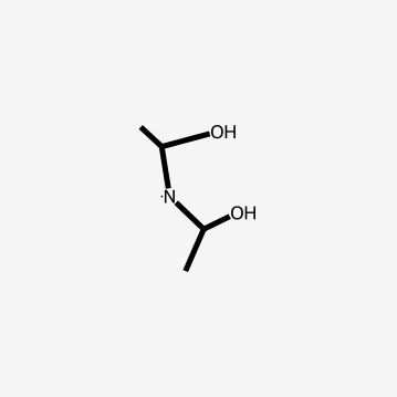 CC(O)[N]C(C)O